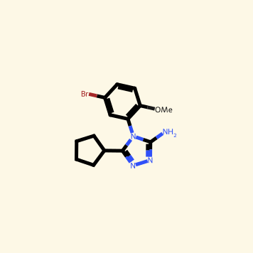 COc1ccc(Br)cc1-n1c(N)nnc1C1CCCC1